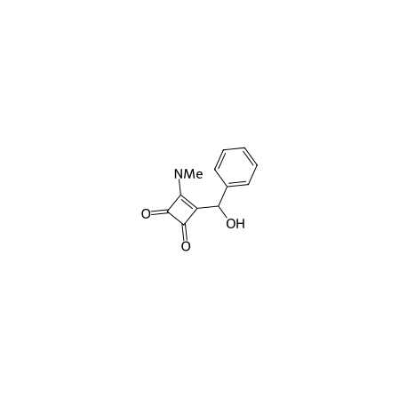 CNc1c(C(O)c2ccccc2)c(=O)c1=O